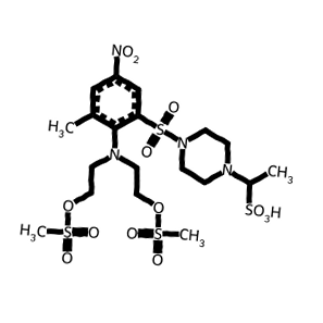 Cc1cc([N+](=O)[O-])cc(S(=O)(=O)N2CCN(C(C)S(=O)(=O)O)CC2)c1N(CCOS(C)(=O)=O)CCOS(C)(=O)=O